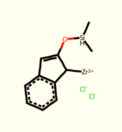 C[SiH](C)OC1=Cc2ccccc2[CH]1[Zr+2].[Cl-].[Cl-]